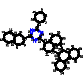 c1ccc(-c2nc(-c3ccc4ccccc4c3)nc(-c3ccc4c5c(cccc35)-c3c-4c4ccccc4c4ccccc34)n2)cc1